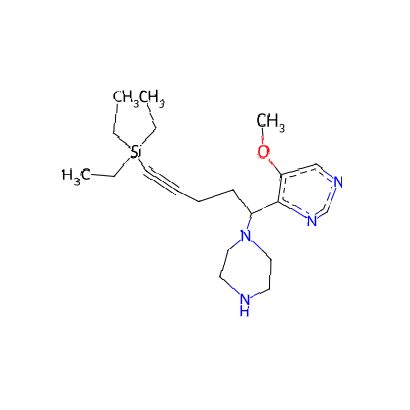 CC[Si](C#CCCC(c1ncncc1OC)N1CCNCC1)(CC)CC